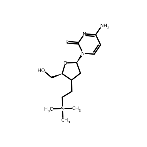 C[Si](C)(C)CCC1C[C@H](n2ccc(N)nc2=S)O[C@@H]1CO